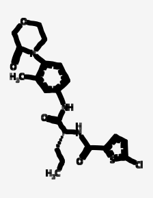 CCC[C@@H](NC(=O)c1ccc(Cl)s1)C(=O)Nc1ccc(N2CCOCC2=O)c(C)c1